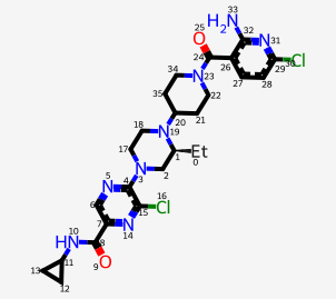 CC[C@H]1CN(c2ncc(C(=O)NC3CC3)nc2Cl)CCN1C1CCN(C(=O)c2ccc(Cl)nc2N)CC1